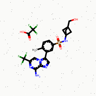 Cc1ccc(S(=O)(=O)NC23CC(CO)(C2)C3)cc1-c1cnc2c(N)nc(C(F)(F)F)cn12.O=C(O)C(F)(F)F